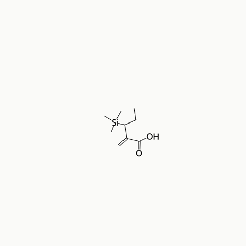 C=C(C(=O)O)C(CC)[Si](C)(C)C